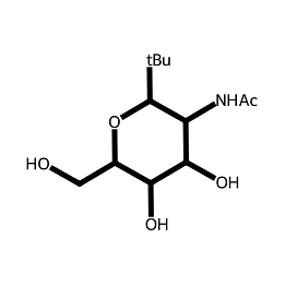 CC(=O)NC1C(O)C(O)C(CO)OC1C(C)(C)C